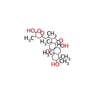 CC(CC(=O)CC(C)[C@H]1CC(=O)[C@H]2C3=C(C(=O)C[C@@]21C)[C@@]1(C)CC[C@H](O)C(C)(C)C1C[C@@H]3O)C(=O)O